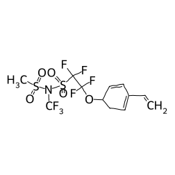 C=CC1=CCC(OC(F)(F)C(F)(F)S(=O)(=O)N(C(F)(F)F)S(C)(=O)=O)C=C1